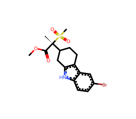 COC(=O)[C@](C)(C1CCc2c([nH]c3ccc(Br)cc23)C1)S(C)(=O)=O